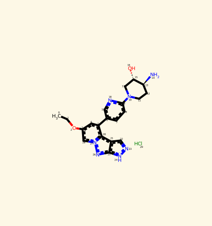 CCOc1cc(-c2ccc(N3CC[C@H](N)[C@@H](O)C3)nc2)c2c3cn[nH]c3nn2c1.Cl